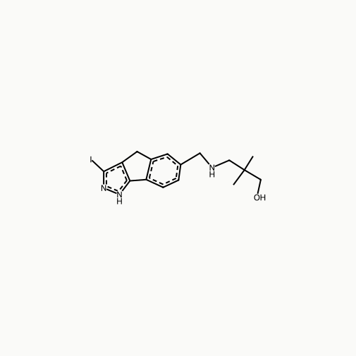 CC(C)(CO)CNCc1ccc2c(c1)Cc1c(I)n[nH]c1-2